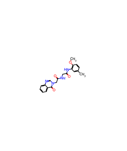 COc1ccc(C)cc1NC(=O)CNC(=O)Cn1cnc2ccccc2c1=O